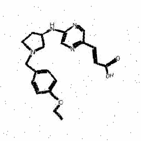 CCOc1ccc(CN2CC[C@@H](Nc3cnc(C=CC(=O)O)cn3)C2)cc1